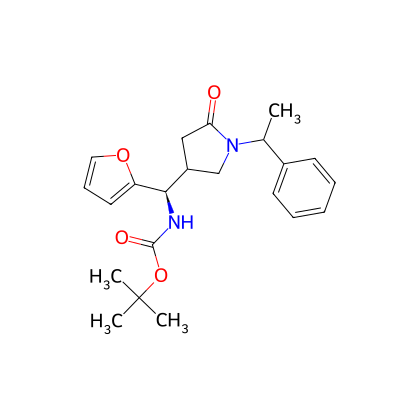 CC(c1ccccc1)N1CC([C@@H](NC(=O)OC(C)(C)C)c2ccco2)CC1=O